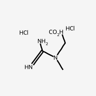 CN(CC(=O)O)C(=N)N.Cl.Cl